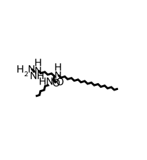 CCCCCCCCCCCCCCCCCC(=O)NC(CCCCNC(=N)N)C(=O)NCCCCCC